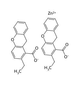 CCc1ccc2c(c1C(=O)[O-])Cc1ccccc1O2.CCc1ccc2c(c1C(=O)[O-])Cc1ccccc1O2.[Zn+2]